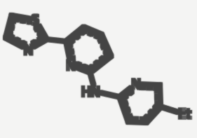 CCc1ccc(Nc2cccc(-c3nccs3)n2)nc1